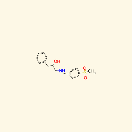 CS(=O)(=O)c1ccc(CNCC(O)Cc2ccccc2)cc1